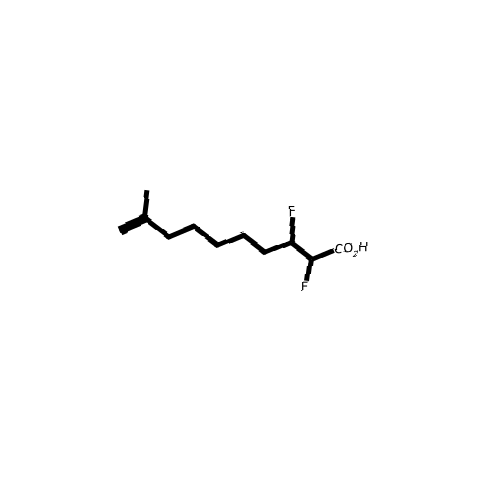 C=C(C)CCCCCC(F)C(F)C(=O)O